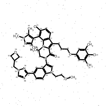 COCCn1cc(N2CC(C)n3c(c(CCCOc4cc(C)c(Cl)c(C)c4)c4ccc(Cl)c(-c5c(C)nn(C)c5C)c43)C2=O)c2cc(-c3ncn(CC4COC4)n3)ccc21